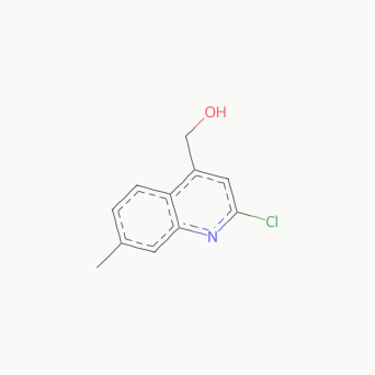 Cc1ccc2c(CO)cc(Cl)nc2c1